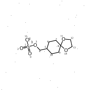 O=S(=O)(OCC1CCC2(CC1)OCCO2)C(F)(F)F